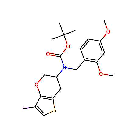 COc1ccc(CN(C(=O)OC(C)(C)C)C2COc3c(I)csc3C2)c(OC)c1